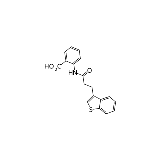 O=C(CCc1csc2ccccc12)Nc1ccccc1C(=O)O